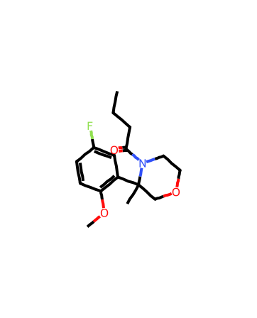 CCCC(=O)N1CCOCC1(C)c1cc(F)ccc1OC